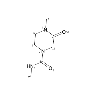 CNC(=O)N1CCN(C)C(=O)C1